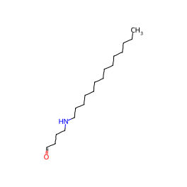 CCCCCCCCCCCCCCNCCCC=O